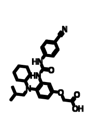 CC(C)CN(c1ccc(OCC(=O)O)cc1NC(=O)Nc1ccc(C#N)cc1)C1CCCCC1